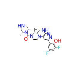 C[C@@H]1CNC[C@H](C)N1C(=O)N1CCN2c3cc(-c4cc(F)cc(F)c4O)nnc3NC[C@H]2C1